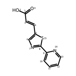 O=C(O)/C=C/c1cnc(-c2ccccn2)s1